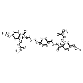 COc1ccc(C(=O)NCCCOc2ccc(CCNC(=O)c3ccc(OC)cc3OCC(C)=O)cc2)c(OCC(C)=O)c1